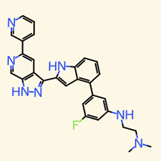 CN(C)CCNc1cc(F)cc(-c2cccc3[nH]c(-c4n[nH]c5cnc(-c6cccnc6)cc45)cc23)c1